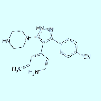 C=C/C=C(\C=C/N)c1c(-c2ccc(C#N)cc2)n[nH]c1N1CCNCC1